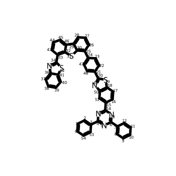 c1ccc(-c2nc(-c3ccccc3)nc(-c3ccc4sc(-c5ccc(-c6cccc7c6sc6c(-c8nc9ccccc9s8)cccc67)cc5)nc4c3)n2)cc1